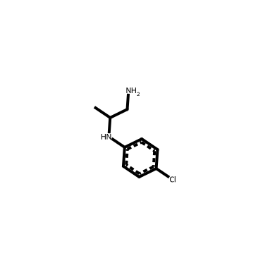 CC(CN)Nc1ccc(Cl)cc1